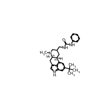 CN1CC(CNC(=O)Nc2ccccc2)C[C@@H]2c3cc(C(C)(C)C)cc4[nH]cc(c34)C[C@H]21